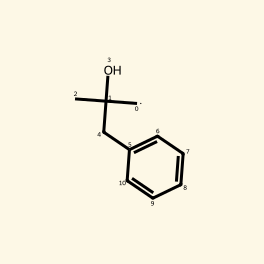 [CH2]C(C)(O)Cc1ccccc1